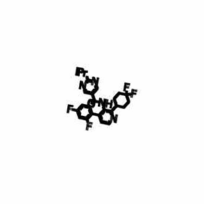 CC(C)c1ncc(C(=O)Nc2c(-c3ccc(F)cc3F)ccnc2C2CCC(F)(F)CC2)cn1